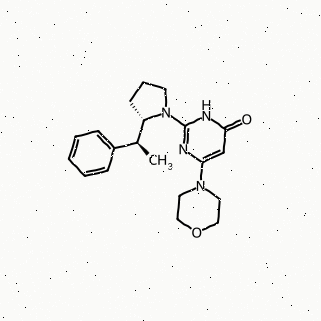 C[C@@H](c1ccccc1)[C@@H]1CCCN1c1nc(N2CCOCC2)cc(=O)[nH]1